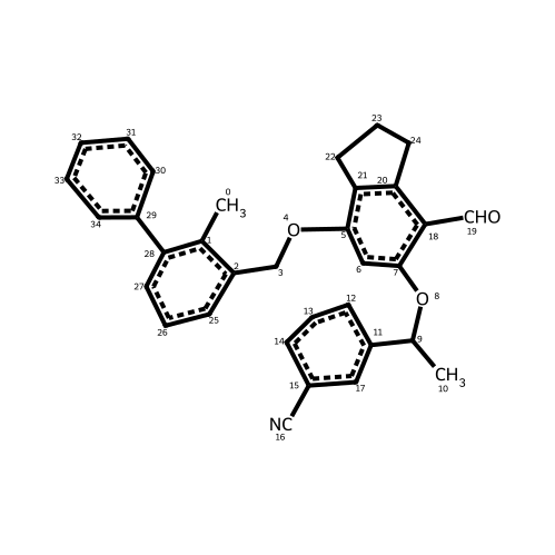 Cc1c(COc2cc(OC(C)c3cccc(C#N)c3)c(C=O)c3c2CCC3)cccc1-c1ccccc1